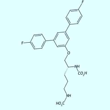 O=C(O)NCCC[C@H](COc1cc(-c2ccc(F)cc2)cc(-c2ccc(F)cc2)c1)NC(=O)O